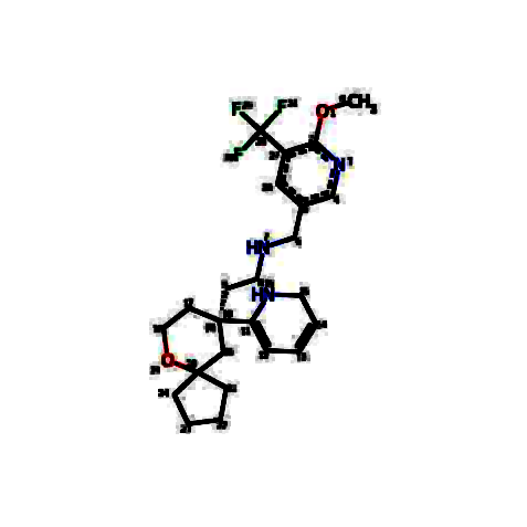 COc1ncc(CNCC[C@@]2(C3=CC=CCN3)CCOC3(CCCC3)C2)cc1C(F)(F)F